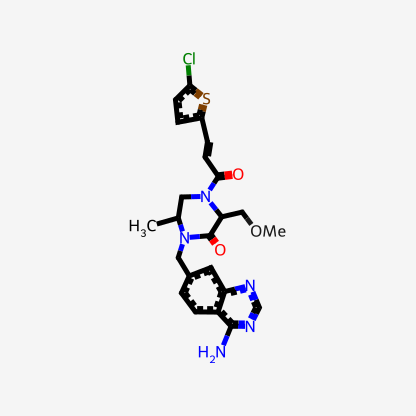 COCC1C(=O)N(Cc2ccc3c(N)ncnc3c2)C(C)CN1C(=O)/C=C/c1ccc(Cl)s1